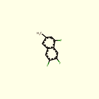 Cc1cc(F)c2cc(F)c(F)cc2c1